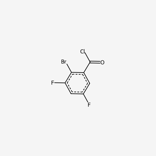 O=C(Cl)c1cc(F)cc(F)c1Br